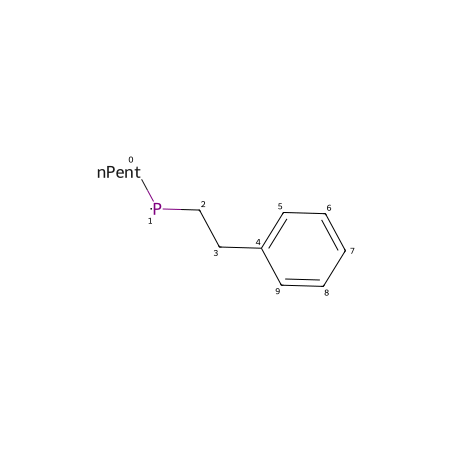 CCCCC[P]CCc1ccccc1